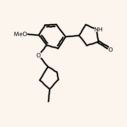 COc1ccc(C2CNC(=O)C2)cc1OC1CCC(C)C1